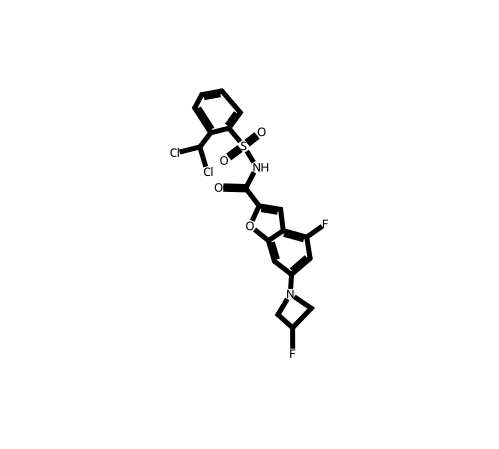 O=C(NS(=O)(=O)c1ccccc1C(Cl)Cl)c1cc2c(F)cc(N3CC(F)C3)cc2o1